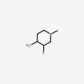 CC1CCN(I)CC1F